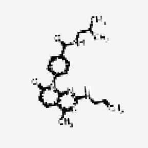 C=CCNc1nc(C)c2ccc(=O)n(-c3ccc(C(=O)NCC(C)C)cc3)c2n1